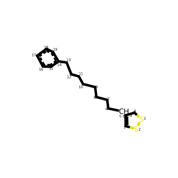 C1=CSSC1.CCCCCCCCCc1ccccc1